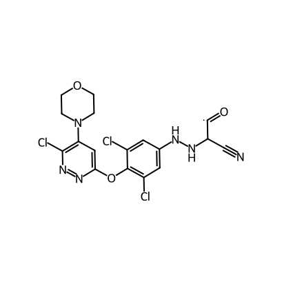 N#CC([C]=O)NNc1cc(Cl)c(Oc2cc(N3CCOCC3)c(Cl)nn2)c(Cl)c1